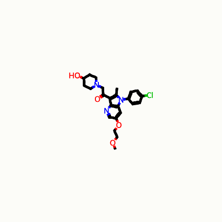 COCCOc1cnc2c(C(=O)CN3CCC(O)CC3)c(C)n(-c3ccc(Cl)cc3)c2c1